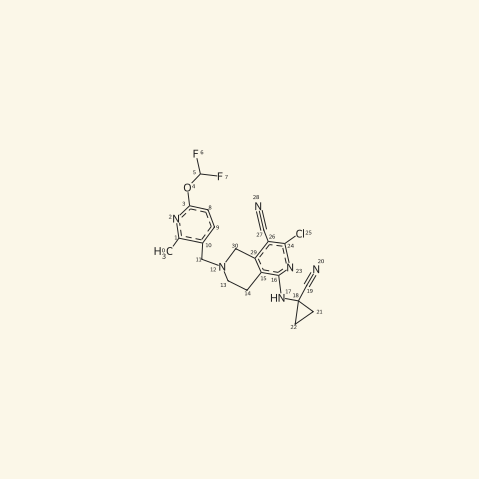 Cc1nc(OC(F)F)ccc1CN1CCc2c(NC3(C#N)CC3)nc(Cl)c(C#N)c2C1